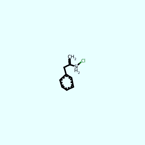 C=C(Cc1ccccc1)[SiH2]Cl